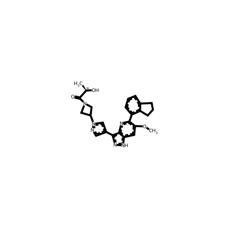 COc1cc2[nH]nc(-c3cnn(C4CN(C(=O)[C@@H](C)O)C4)c3)c2nc1-c1cccc2c1CCC2